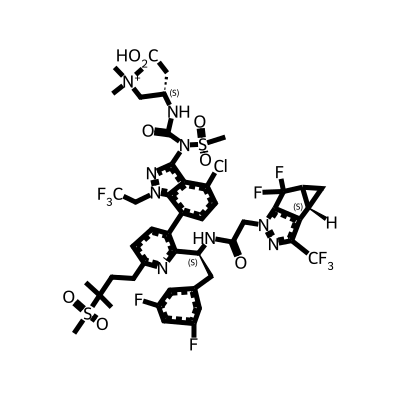 CC(C)(CCc1ccc(-c2ccc(Cl)c3c(N(C(=O)N[C@@H](CC(=O)O)C[N+](C)(C)C)S(C)(=O)=O)nn(CC(F)(F)F)c23)c([C@H](Cc2cc(F)cc(F)c2)NC(=O)Cn2nc(C(F)(F)F)c3c2C(F)(F)C2C[C@H]32)n1)S(C)(=O)=O